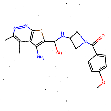 COc1ccc(C(=O)N2CC(NC(O)c3sc4nnc(C)c(C)c4c3N)C2)cc1